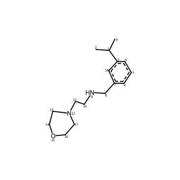 CC(C)c1cccc(CNCCN2CCOCC2)c1